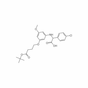 COc1cc(NC(C(=O)O)c2ccc(Cl)cc2)cc(OCCCC(=O)OC(C)(C)C)c1